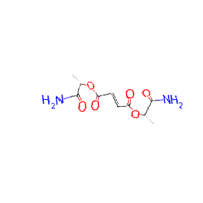 C[C@H](OC(=O)/C=C/C(=O)O[C@@H](C)C(N)=O)C(N)=O